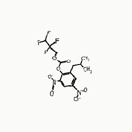 CC(C)Cc1cc([N+](=O)[O-])cc([N+](=O)[O-])c1OC(=O)OCC(F)(F)C(F)F